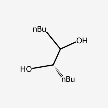 CCCCC(O)[C@@H](O)CCCC